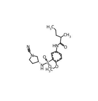 CCCC(C)C(=O)Nc1ccc(OC)c(S(=O)(=O)N[C@@H]2CCN(C#N)C2)c1